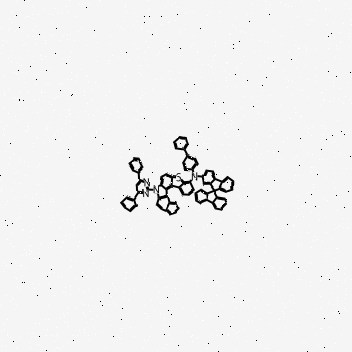 c1ccc(-c2ccc(N(c3ccc4c(c3)C3(c5ccccc5-c5ccccc53)c3ccccc3-4)c3cccc4c3sc3ccc5c(c34)c3c4ccccc4ccc3n5-c3nc(-c4ccccc4)cc(-c4ccccc4)n3)cc2)cc1